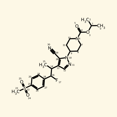 CC(C)OC(=O)N1CCC(n2ncc(C(C)C(F)c3ccc(S(C)(=O)=O)cc3)c2C#N)CC1